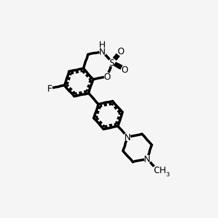 CN1CCN(c2ccc(-c3cc(F)cc4c3OS(=O)(=O)NC4)cc2)CC1